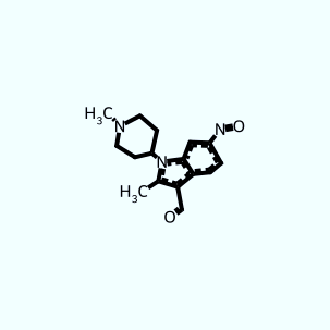 Cc1c(C=O)c2ccc(N=O)cc2n1C1CCN(C)CC1